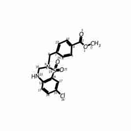 COC(=O)c1ccc(CN2CNc3ccc(Cl)cc3S2(=O)=O)cc1